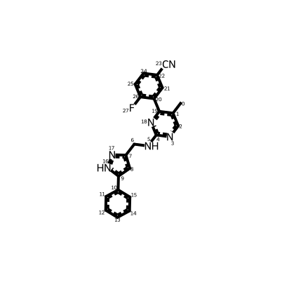 Cc1cnc(NCc2cc(-c3ccccc3)[nH]n2)nc1-c1cc(C#N)ccc1F